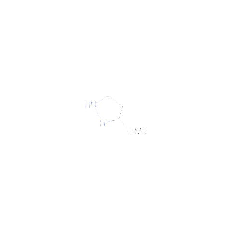 COC1CCN[N]1